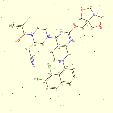 C=C(F)C(=O)N1CCN(c2nc(OCC34COCN3COC4)nc3c2CCN(c2cccc4ccc(F)c(Cl)c24)C3)C[C@@H]1CC#N